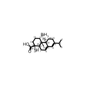 CC(C)C1=CC2=CC[C@@H]3[C@](C)(CCC[C@@]3(C)C(=O)O)[C@H]2CC1.[BiH3]